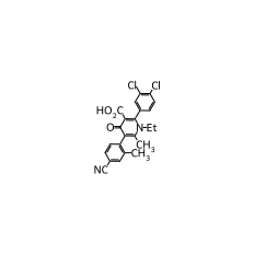 CCn1c(C)c(-c2ccc(C#N)cc2C)c(=O)c(C(=O)O)c1-c1ccc(Cl)c(Cl)c1